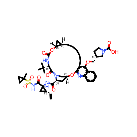 C=C[C@@H]1C[C@]1(NC(=O)[C@@H]1C[C@@H]2CN1C(=O)[C@H](C(C)(C)C)NC(=O)O[C@@H]1C[C@H]1CCCCCc1c(nc3ccccc3c1OC[C@@H]1CCN(C(=O)O)C1)O2)C(=O)NS(=O)(=O)C1(C)CC1